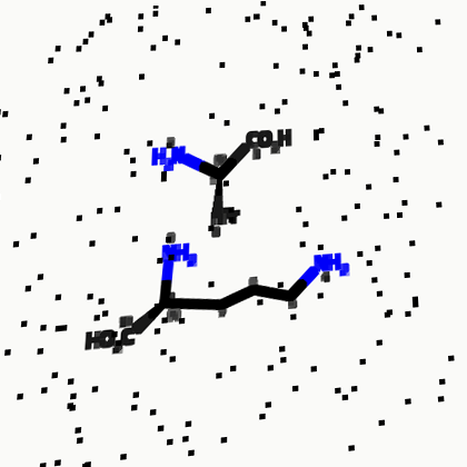 CCC[C@H](N)C(=O)O.NCCC[C@H](N)C(=O)O